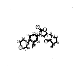 C=C1CCN(C[C@H]2CN(c3ccc(N4CCOCC4)c(F)c3)C(=O)O2)C1=O